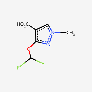 Cn1cc(C(=O)O)c(OC(F)F)n1